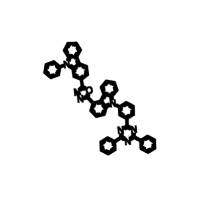 c1ccc(-c2nc(-c3ccccc3)nc(-c3cccc(-n4c5ccccc5c5c(-c6nnc(-c7ccc8c9ccccc9n(-c9ccccc9)c8c7)o6)cccc54)c3)n2)cc1